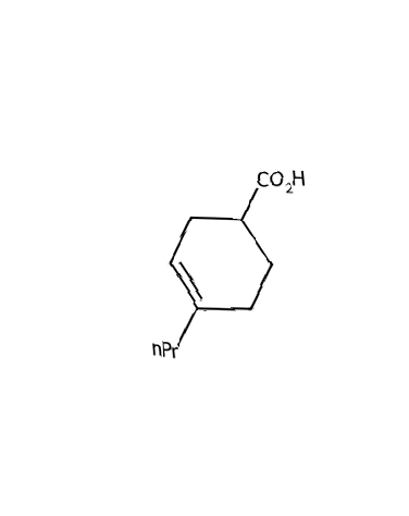 CCCC1=CCC(C(=O)O)CC1